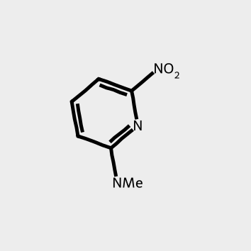 CNc1cccc([N+](=O)[O-])n1